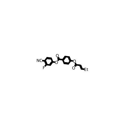 CCC=CC(=O)Oc1ccc(C(=O)Oc2ccc(C#N)c(F)c2)cc1